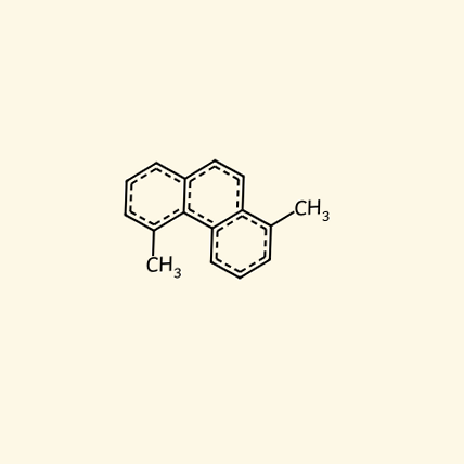 Cc1cccc2c1ccc1cccc(C)c12